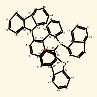 c1ccc(N(c2cccc3ccccc23)c2cccc3c2oc2ccccc23)c(-c2c(-n3c4ccccc4c4ccccc43)ccc3ccccc23)c1